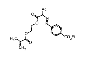 C=C(C)C(=O)OCCOC(=O)C(N=Nc1ccc(C(=O)OCC)cc1)C(C)=O